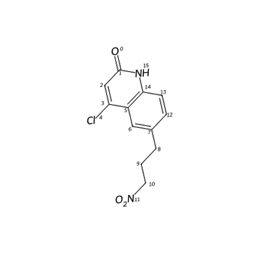 O=c1cc(Cl)c2cc(CCC[N+](=O)[O-])ccc2[nH]1